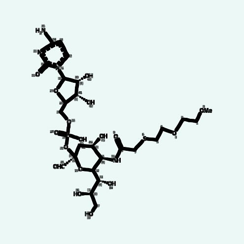 COCCOCCSCC(=O)N[C@H]1C([C@H](O)[C@H](O)CO)O[C@@](C=O)(OP(=O)(O)OCC2OC(n3ccc(N)nc3=O)[C@H](O)[C@@H]2O)C[C@H]1O